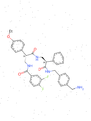 CCOc1ccc([C@@H](CNC(=O)c2ccc(F)c(F)c2)C(=O)NC[C@H](C(=O)NCc2ccc(CN)cc2)c2ccccc2)cc1